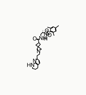 Cc1cc(C)c(S(=O)(=O)N[C@@H](C)CNC(=O)C2CC3(C2)CN(CCc2ccc4c(n2)NCCC4)C3)c(C)c1